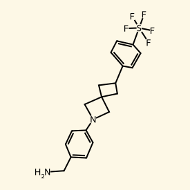 NCc1ccc(N2CC3(CC(c4ccc(S(F)(F)(F)(F)F)cc4)C3)C2)cc1